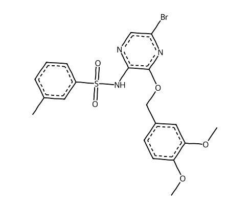 COc1ccc(COc2nc(Br)cnc2NS(=O)(=O)c2cccc(C)c2)cc1OC